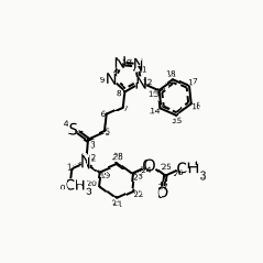 CCN(C(=S)CCCc1nnnn1-c1ccccc1)C1CCCC(OC(C)=O)C1